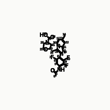 CC(=O)Nc1cc(F)c(-c2nc3cc(C)ccn3c2C[C@H]2CN(C(=O)O)CCO2)c(F)c1F